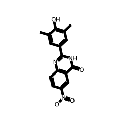 Cc1cc(-c2nc3ccc([N+](=O)[O-])cc3c(=O)[nH]2)cc(C)c1O